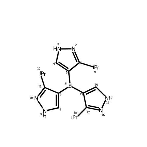 CC(C)c1n[nH]cc1B(c1c[nH]nc1C(C)C)c1c[nH]nc1C(C)C